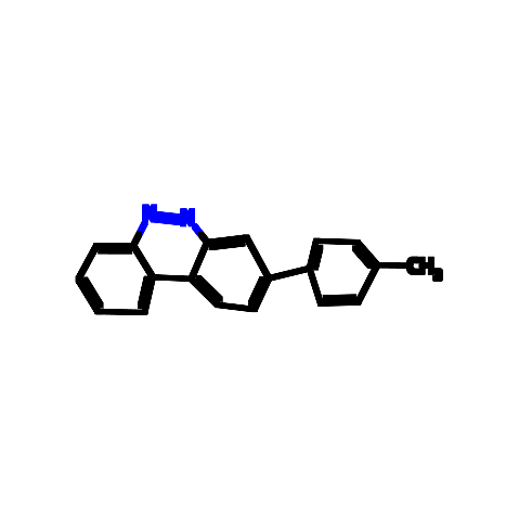 Cc1ccc(-c2ccc3c(c2)nnc2ccccc23)cc1